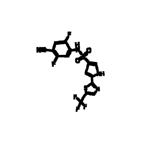 N#Cc1cc(F)c(NS(=O)(=O)c2c[nH]c(-c3ncc(C(F)(F)F)s3)c2)cc1F